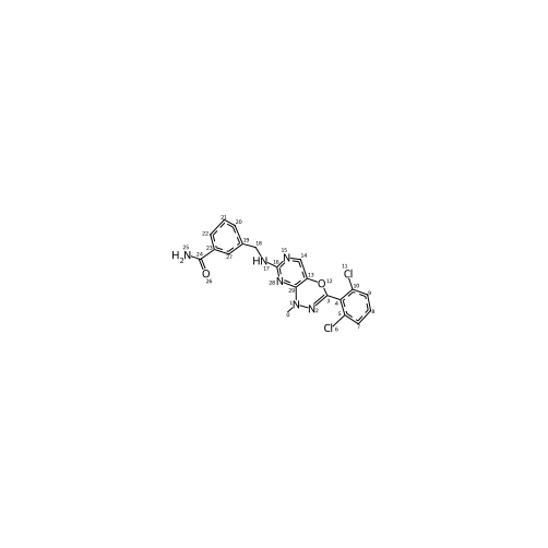 CN1N=C(c2c(Cl)cccc2Cl)Oc2cnc(NCc3cccc(C(N)=O)c3)nc21